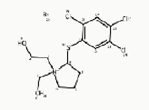 CC[N+]1(CCO)CCCC1Sc1cc(Cl)c(Cl)cc1Cl.[Br-]